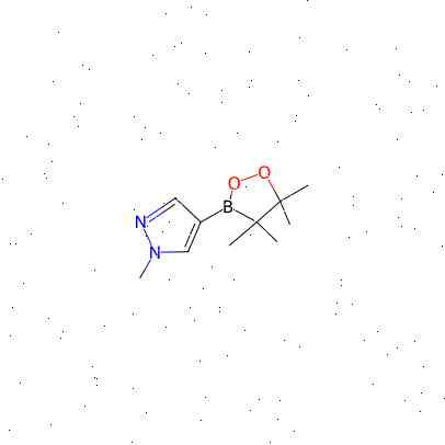 Cn1cc(B2OOC(C)(C)C2(C)C)cn1